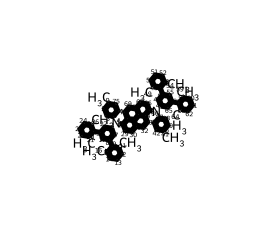 Cc1ccc(N(c2cc(-c3c(C)cccc3C)cc(-c3c(C)cccc3C)c2)c2ccc3ccc4c(N(c5ccc(C)cc5)c5cc(-c6c(C)cccc6C)cc(-c6c(C)cccc6C)c5)ccc5ccc2c3c54)cc1